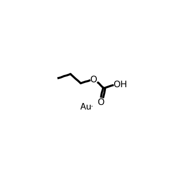 CCCOC(=O)O.[Au]